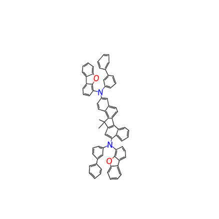 CC1(C)c2cc(N(c3cccc(-c4ccccc4)c3)c3cccc4c3oc3ccccc34)c3ccccc3c2-c2ccc3cc(N(c4cccc(-c5ccccc5)c4)c4cccc5c4oc4ccccc45)ccc3c21